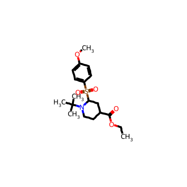 CCOC(=O)C1CCN(C(C)(C)C)C(S(=O)(=O)c2ccc(OC)cc2)C1